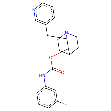 O=C(Nc1cccc(F)c1)OC1C2CCN(CC2)C1Cc1cccnc1